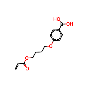 C=CC(=O)OCCCCOc1ccc(B(O)O)cc1